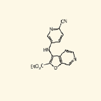 CCOC(=O)c1oc2cnccc2c1Nc1ccc(C#N)nc1